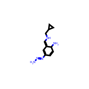 NN=NC1=C/C(=C/NCC2CC2)C(N)C=C1